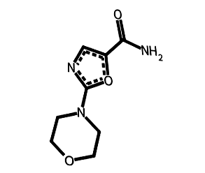 NC(=O)c1cnc(N2CCOCC2)o1